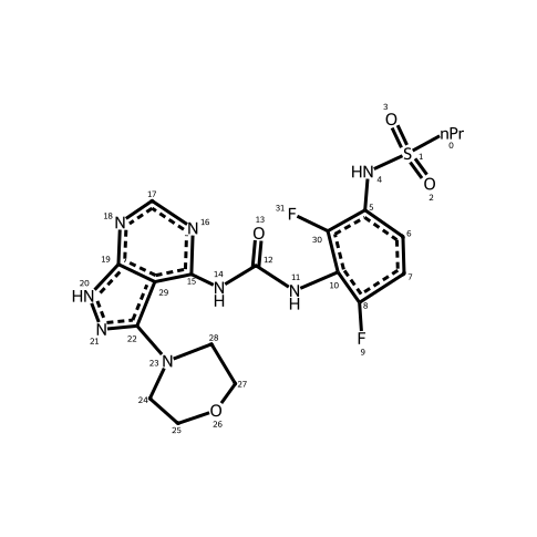 CCCS(=O)(=O)Nc1ccc(F)c(NC(=O)Nc2ncnc3[nH]nc(N4CCOCC4)c23)c1F